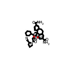 N#CC1CCCN1C(=O)CN[C@H](CC1(c2nnn[nH]2)c2ccc(C(N)=O)cc2CCc2cc(C(N)=O)ccc21)C1CCCCC1